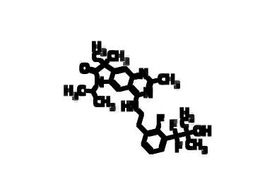 Cc1nc(NCCc2cccc(C(F)(F)C(C)(C)O)c2F)c2cc3c(cc2n1)C(C)(C)C(=O)N3C(C)C